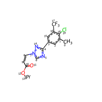 Cc1cc(-c2ncn(/C=C\C(=O)OC(C)C)n2)cc(C(F)(F)F)c1Cl